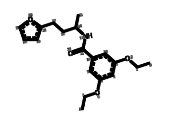 CCOc1cc(OCC)cc(C(=O)NC(C)CCc2ccco2)c1